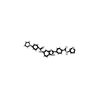 O=C(Nc1cccnc1)c1ccc(-c2nc3cc(NC(=O)c4ccc(N5CCCC5)cc4)ccc3[nH]2)cc1